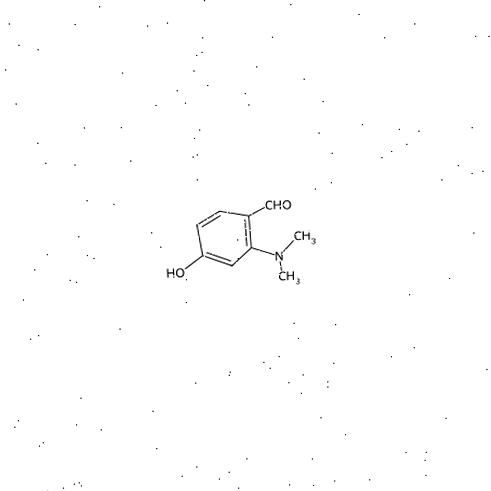 CN(C)c1cc(O)ccc1C=O